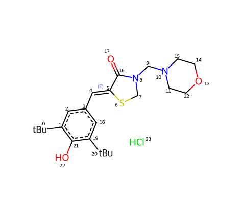 CC(C)(C)c1cc(/C=C2\SCN(CN3CCOCC3)C2=O)cc(C(C)(C)C)c1O.Cl